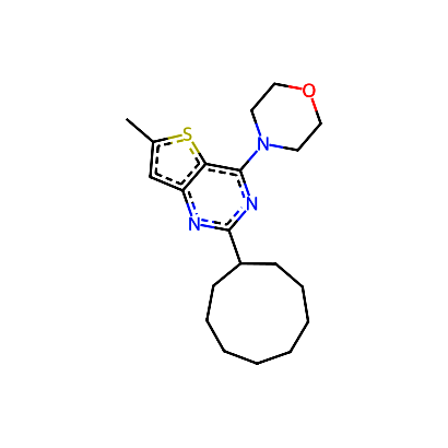 Cc1cc2nc(C3CCCCCCCC3)nc(N3CCOCC3)c2s1